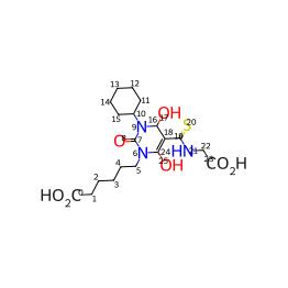 O=C(O)CCCCCN1C(=O)N(C2CCCCC2)C(O)C(C(=S)NCC(=O)O)=C1O